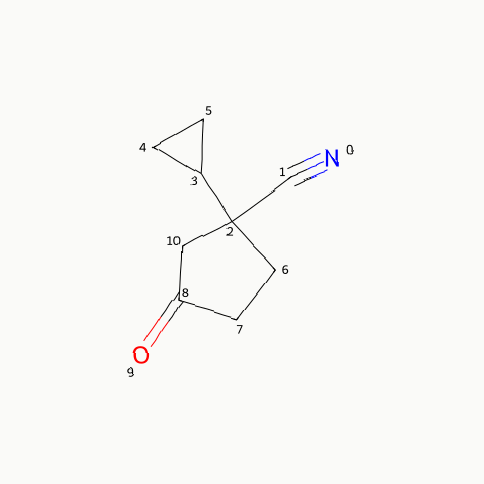 N#CC1(C2CC2)CCC(=O)C1